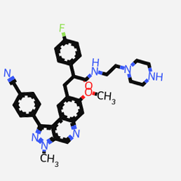 COc1cc2ncc3c(c(-c4ccc(C#N)cc4)nn3C)c2cc1CC(C(=O)NCCN1CCNCC1)c1ccc(F)cc1